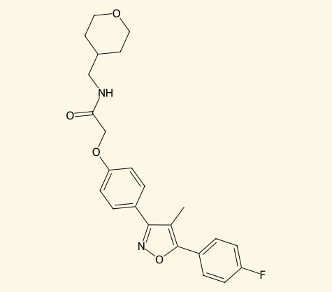 Cc1c(-c2ccc(OCC(=O)NCC3CCOCC3)cc2)noc1-c1ccc(F)cc1